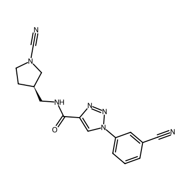 N#Cc1cccc(-n2cc(C(=O)NC[C@H]3CCN(C#N)C3)nn2)c1